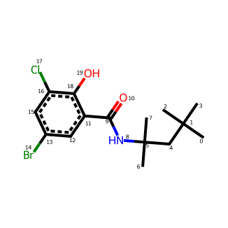 CC(C)(C)CC(C)(C)NC(=O)c1cc(Br)cc(Cl)c1O